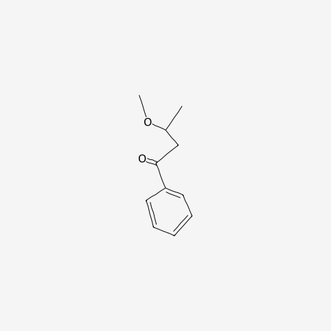 COC(C)CC(=O)c1ccccc1